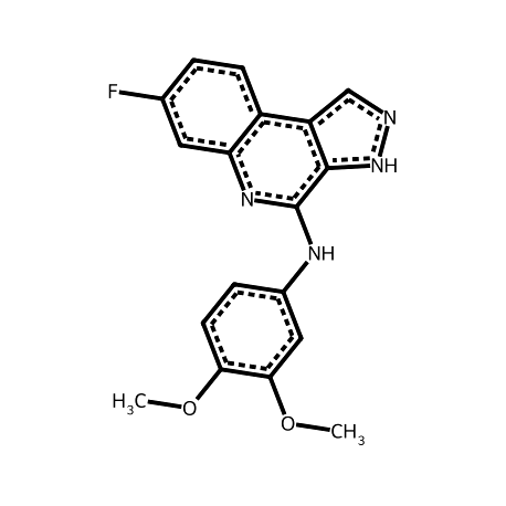 COc1ccc(Nc2nc3cc(F)ccc3c3cn[nH]c23)cc1OC